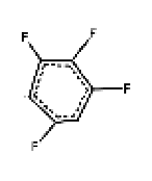 Fc1[c]c(F)c(F)c(F)c1